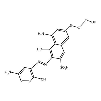 Nc1cc(SOOO)cc2cc(S(=O)(=O)O)c(N=Nc3cc([N+](=O)[O-])ccc3O)c(O)c12